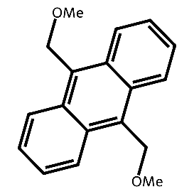 COCc1c2ccccc2c(COC)c2ccccc12